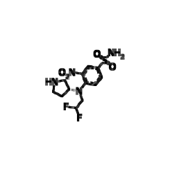 NS(=O)(=O)c1ccc(N(CC(F)F)[C@@H]2CCNC2)c([N+](=O)[O-])c1